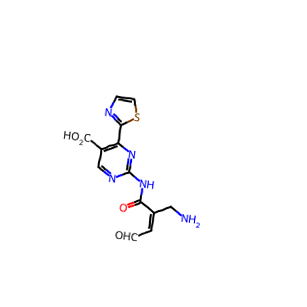 NC/C(=C/C=O)C(=O)Nc1ncc(C(=O)O)c(-c2nccs2)n1